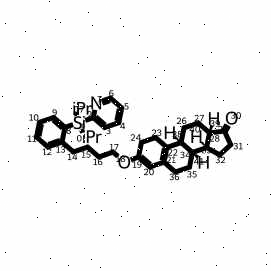 CC(C)[Si](c1ccccn1)(c1ccccc1CCCCOC1=CC2=C(CC1)[C@H]1CC[C@@H]3C(=O)CC[C@H]3[C@@H]1CC2)C(C)C